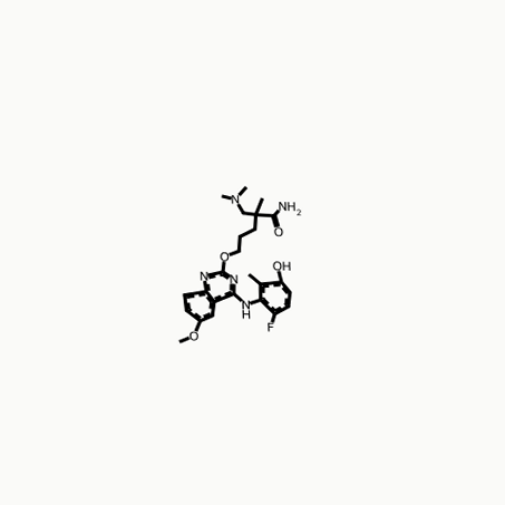 COc1ccc2nc(OCCCC(C)(CN(C)C)C(N)=O)nc(Nc3c(F)ccc(O)c3C)c2c1